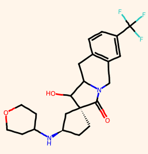 O=C1N2Cc3cc(C(F)(F)F)ccc3CC2C(O)[C@@]12CC[C@@H](NC1CCOCC1)C2